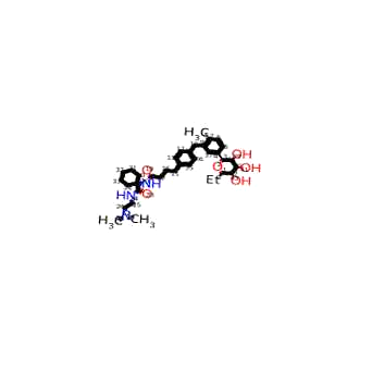 CC[C@H]1O[C@@H](c2ccc(C)c(Cc3ccc(CCCC(=O)NC4(C(=O)NCCN(C)C)CCCCC4)cc3)c2)[C@H](O)[C@@H](O)[C@@H]1O